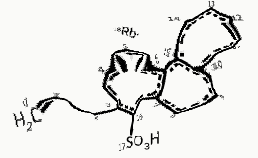 C=CCc1ccc2c(ccc3ccccc32)c1S(=O)(=O)O.[Rb]